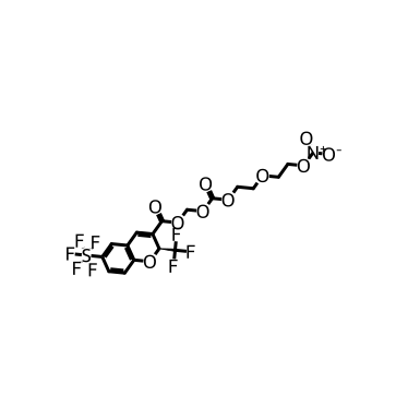 O=C(OCCOCCO[N+](=O)[O-])OCOC(=O)C1=Cc2cc(S(F)(F)(F)(F)F)ccc2O[C@@H]1C(F)(F)F